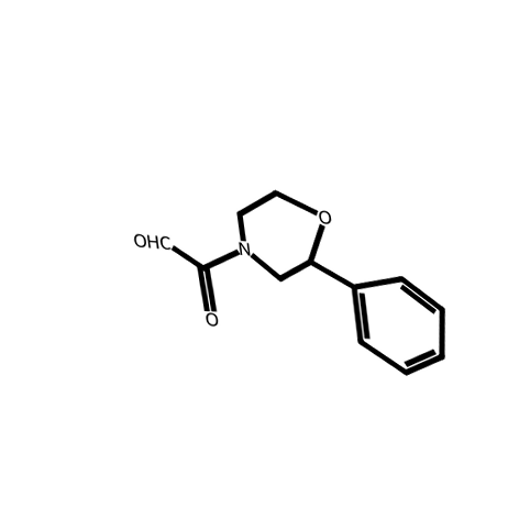 O=CC(=O)N1CCOC(c2ccccc2)C1